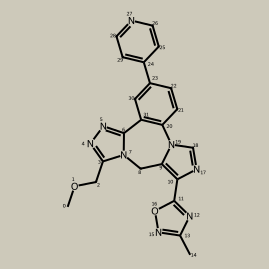 COCc1nnc2n1Cc1c(-c3nc(C)no3)ncn1-c1ccc(-c3ccncc3)cc1-2